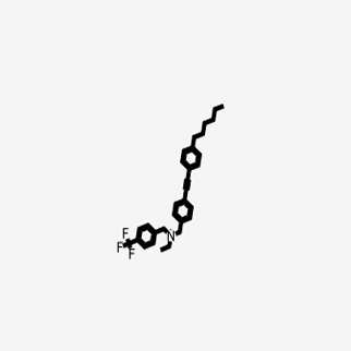 CCCCCCc1ccc(C#Cc2ccc(C[N+](CC)Cc3ccc(C(F)(F)F)cc3)cc2)cc1